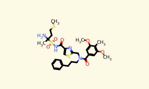 COc1cc(C(=O)N(CCCc2ccccc2)Cc2nc(C(=O)NS(=O)(=O)C(C)(N)CCSC)cs2)cc(OC)c1C